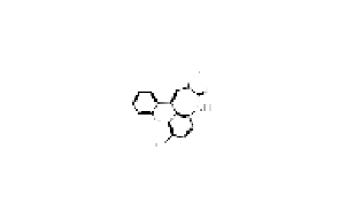 CC(=O)OC1C=C(c2ccccc2F)c2cc(Cl)ccc2NC1=O